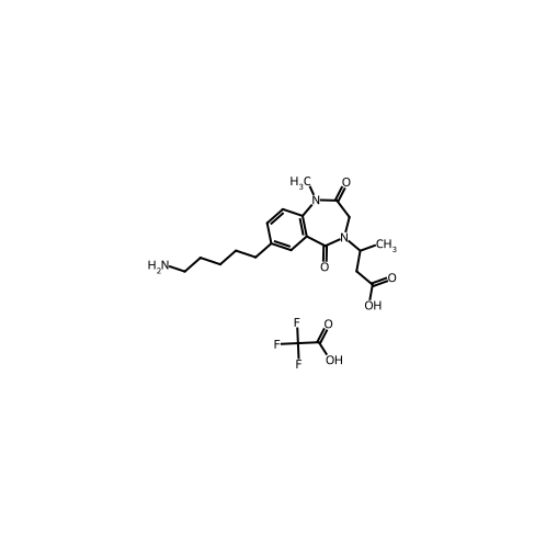 CC(CC(=O)O)N1CC(=O)N(C)c2ccc(CCCCCN)cc2C1=O.O=C(O)C(F)(F)F